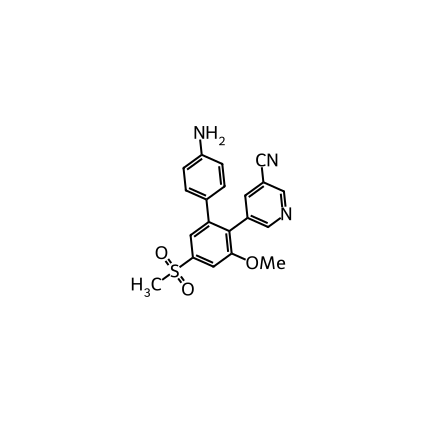 COc1cc(S(C)(=O)=O)cc(-c2ccc(N)cc2)c1-c1cncc(C#N)c1